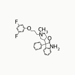 C[N+]1(CCCOc2cc(F)cc(F)c2)CCC(C(C(N)=O)(c2ccccc2)c2ccccc2)C1